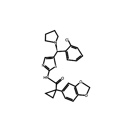 O=C(Nc1ncc([C@H](c2ccccc2Cl)N2CCCC2)s1)C1(c2ccc3c(c2)OCO3)CC1